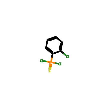 S=P(Cl)(Cl)c1ccccc1Cl